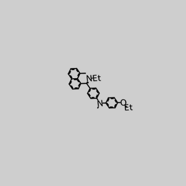 CC/N=C(\c1ccc(N(C)c2ccc(OCC)cc2)cc1)c1cccc2cccc(C)c12